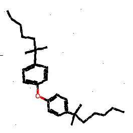 CCCCCC(C)(C)c1ccc(Oc2ccc(C(C)(C)CCCCC)cc2)cc1